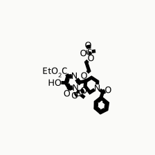 CCOC(=O)c1nc(C2(OCCOS(C)(=O)=O)CCN(C(=O)c3ccccc3)CC2)n(S(C)(=O)=O)c(=O)c1O